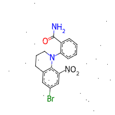 NC(=O)c1ccccc1N1CCCc2cc(Br)cc([N+](=O)[O-])c21